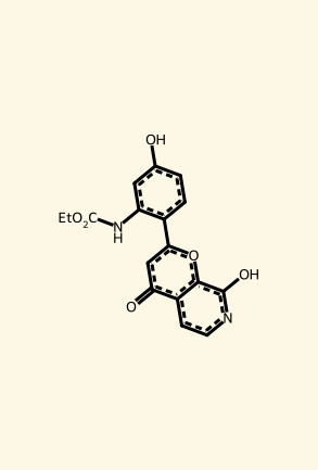 CCOC(=O)Nc1cc(O)ccc1-c1cc(=O)c2ccnc(O)c2o1